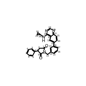 O=C1CC(c2ccccc2)C(=O)N1Cc1cccc(-c2ccc3ncnc(NC4CC4)c3c2)c1